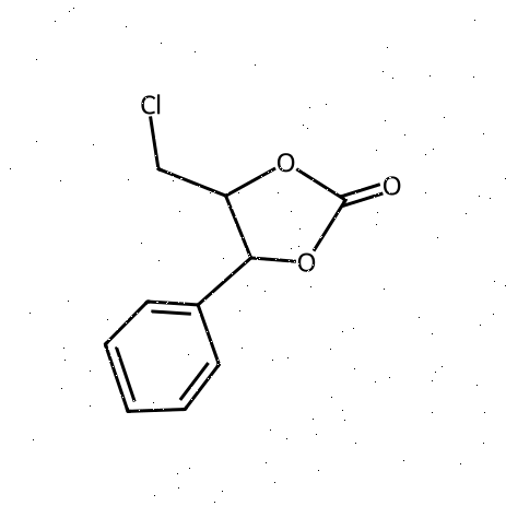 O=C1OC(CCl)C(c2ccccc2)O1